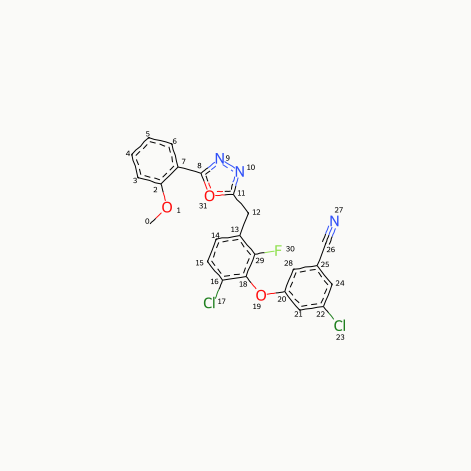 COc1ccccc1-c1nnc(Cc2ccc(Cl)c(Oc3cc(Cl)cc(C#N)c3)c2F)o1